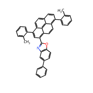 Cc1ccccc1-c1ccc2ccc3c(-c4ccccc4C)cc(-c4nc5cc(-c6ccccc6)ccc5o4)c4ccc1c2c43